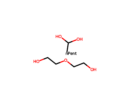 CCCCCC(O)O.OCCOCCO